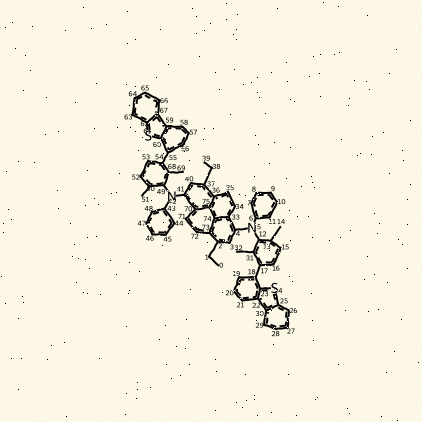 CCc1cc(N(c2ccccc2)c2c(C)ccc(-c3cccc4c3sc3ccccc34)c2C)c2ccc3c(CC)cc(N(c4ccccc4)c4c(C)ccc(-c5cccc6c5sc5ccccc56)c4C)c4ccc1c2c34